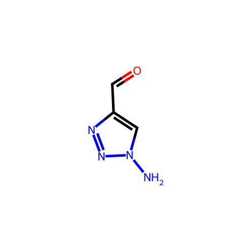 Nn1cc(C=O)nn1